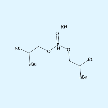 CCCCC(CC)CO[PH](=O)OCC(CC)CCCC.[KH]